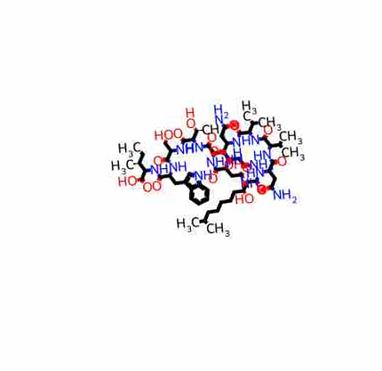 CC[C@@H](C)C(NC(=O)C(Cc1c[nH]c2ccccc12)NC(=O)C(CO)NC(=O)C(NC(=O)C(CC(O)CCN)NC(=O)C(CC(N)=O)NC(=O)C(CC(N)=O)NC(=O)C(NC(=O)C(NC(=O)C(CC(N)=O)NC(=O)CC(O)CCCCCC(C)C)C(C)C)C(C)C)[C@@H](C)O)C(=O)O